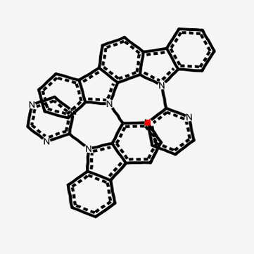 c1cnc(-n2c3ccccc3c3ccc4c5ccccc5n(-c5cccc6c7ccccc7n(-c7ncncn7)c56)c4c32)nc1